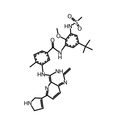 C=C/N=C1/C=CC(C2=CCNC2)=N/C1=C(/N)Nc1cc(C(=O)Nc2cc(C(C)(C)C)cc(NS(C)(=O)=O)c2OC)ccc1C